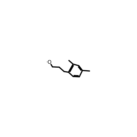 Cc1ccc(CCC[O])c(C)c1